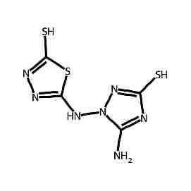 Nc1nc(S)nn1Nc1nnc(S)s1